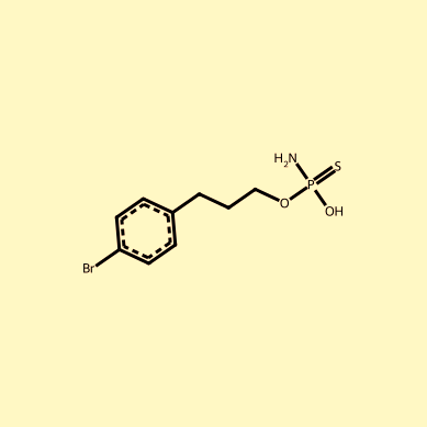 NP(O)(=S)OCCCc1ccc(Br)cc1